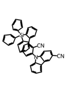 N#Cc1ccc2c(c1)c1ccccc1n2-c1cccc(-c2ccccc2[Si](c2ccccc2)(c2ccccc2)c2ccccc2)c1C#N